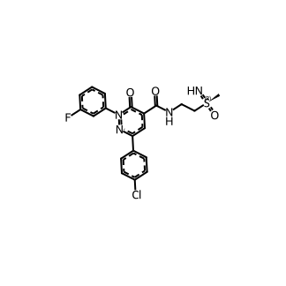 C[S@@](=N)(=O)CCNC(=O)c1cc(-c2ccc(Cl)cc2)nn(-c2cccc(F)c2)c1=O